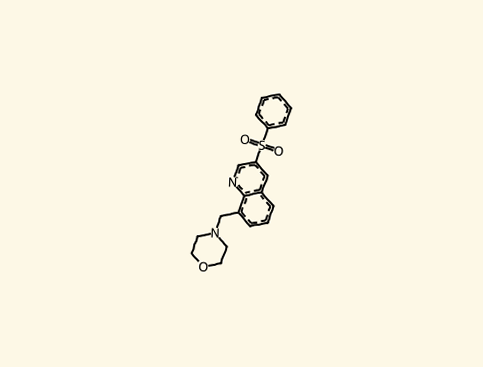 O=S(=O)(c1ccccc1)c1cnc2c(CN3CCOCC3)cccc2c1